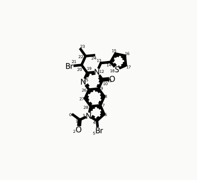 CC(=O)n1c(Br)cc2cc3c(=O)n(Cc4cccs4)c(C(Br)C(C)C)nc3cc21